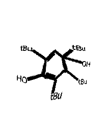 CC(C)(C)C1=CC(O)(C(C)(C)C)C(C(C)(C)C)C(C(C)(C)C)=C1O